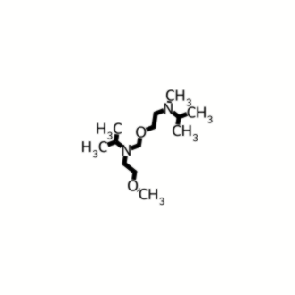 COCCN(COCCN(C)C(C)C)C(C)C